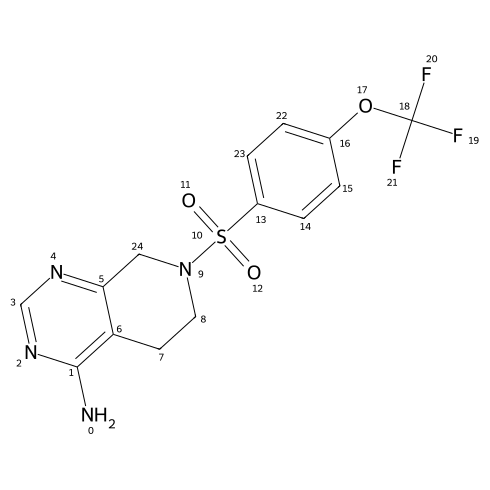 Nc1ncnc2c1CCN(S(=O)(=O)c1ccc(OC(F)(F)F)cc1)C2